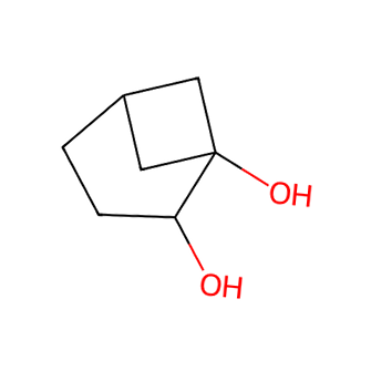 OC1CCC2CC1(O)C2